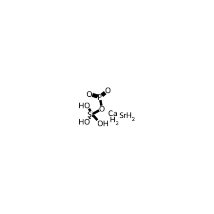 O=P(=O)O[Si](O)(O)O.[CaH2].[SrH2]